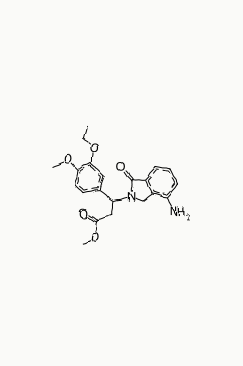 CCOc1cc(C(CC(=O)OC)N2Cc3c(N)cccc3C2=O)ccc1OC